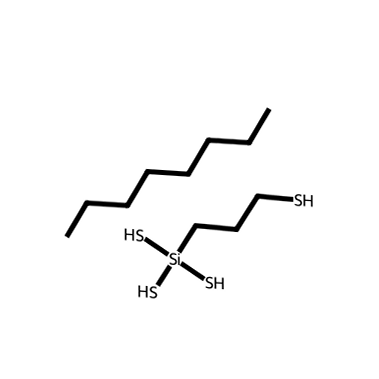 CCCCCCCC.SCCC[Si](S)(S)S